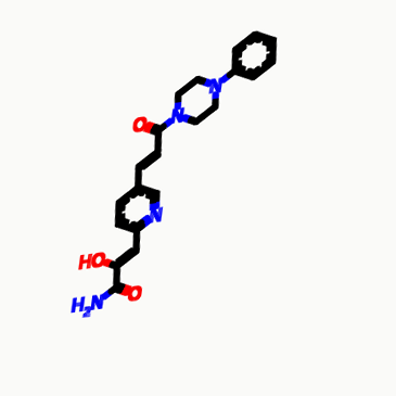 NC(=O)/C(O)=C/c1ccc(/C=C/C(=O)N2CCN(c3ccccc3)CC2)cn1